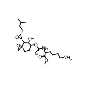 COC(=O)C(CCCCN)NC(=O)OC1CC[C@]2(CO2)C([C@H]2O[C@@H]2CCC(C)C)C1OC